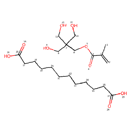 C=C(C)C(=O)OCC(CO)(CO)CO.O=C(O)CCCCCCCCCCC(=O)O